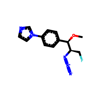 CO[C@H](c1ccc(-n2ccnc2)cc1)[C@@H](CF)N=[N+]=[N-]